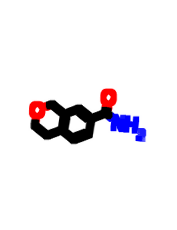 NC(=O)c1ccc2c(c1)COCC2